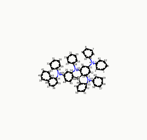 c1ccc(N(c2ccccc2)c2cc3c4c(c2)N(c2ccccc2)c2cc(N(c5ccccc5)c5cccc6ccccc56)ccc2B4c2ccccc2N3c2ccccc2)cc1